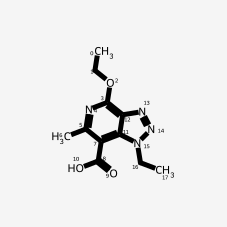 CCOc1nc(C)c(C(=O)O)c2c1nnn2CC